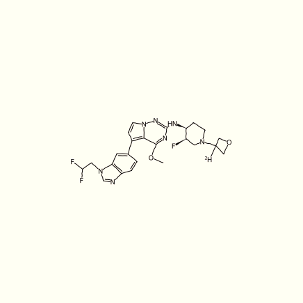 [2H]C1(N2CC[C@H](Nc3nc(OC)c4c(-c5ccc6ncn(CC(F)F)c6c5)ccn4n3)[C@H](F)C2)COC1